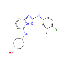 Cc1cc(Nc2nc3cccc(N[C@H]4CC[C@@H](O)CC4)n3n2)ccc1F